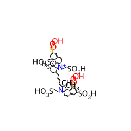 CC12CCC\C(=C/C=C/C=C3/N(CCS(=O)(=O)O)c4ccc5cc(S(=O)(=O)O)cc(SOOO)c5c4C3(C)C)C1=[N+](CCS(=O)(=O)O)c1ccc3cc(SOOO)cc(S(=O)(=O)O)c3c12